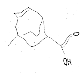 CC12C=CC(C1)C(C(=O)O)C2